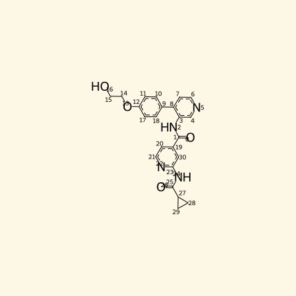 O=C(Nc1cnccc1-c1ccc(OCCO)cc1)c1ccnc(NC(=O)C2CC2)c1